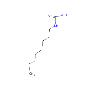 CCCCCCCCNC([NH])=S